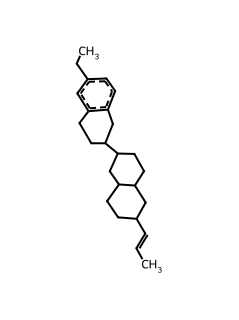 CC=CC1CCC2CC(C3CCc4cc(CC)ccc4C3)CCC2C1